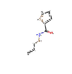 C=CCSNC(=O)c1cccs1